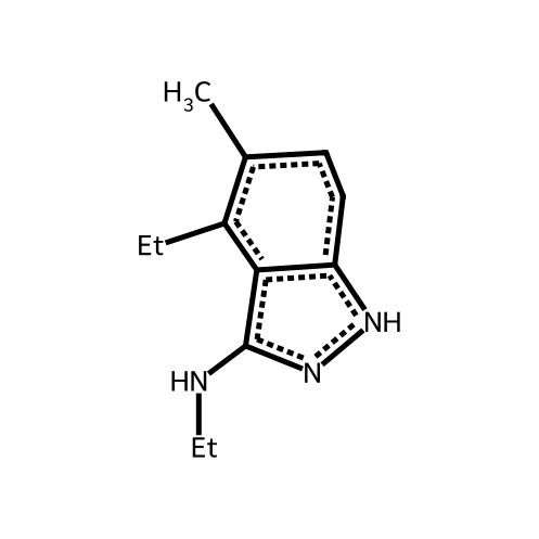 CCNc1n[nH]c2ccc(C)c(CC)c12